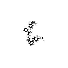 Nc1ccc(Oc2ccccc2C(=O)CCCCC(=O)c2ccccc2Oc2ccc(N)cc2)cc1